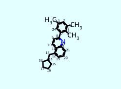 Cc1cc(C)c(C)c(-c2ccc3c(CC4CCCC4)cccc3n2)c1